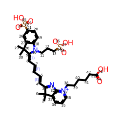 CC1(C)C(/C=C/C=C/C=C2\N(CCCS(=O)(=O)O)c3ccc(S(=O)(=O)O)cc3C2(C)C)=Nc2c1ccc[n+]2CCCCCC(=O)O